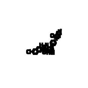 CN1C=C2C(=O)N(C3CCN(C(=O)C(N)CS(=O)(=O)c4ccc5cc(Cl)ccc5c4)CC3)CN2C1.Cl.Cl